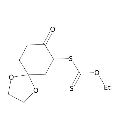 CCOC(=S)SC1CC2(CCC1=O)OCCO2